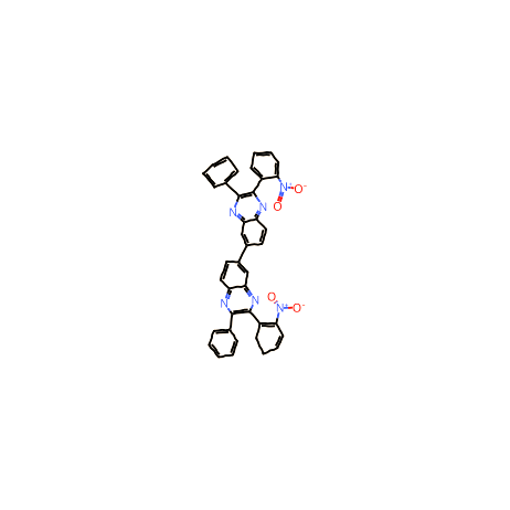 O=[N+]([O-])C1=C(c2nc3cc(-c4ccc5nc(-c6ccccc6[N+](=O)[O-])c(-c6ccccc6)nc5c4)ccc3nc2-c2ccccc2)CCC=C1